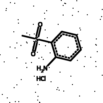 CS(=O)(=O)c1ccccc1N.Cl